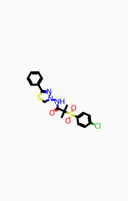 CC(C)(C(=O)NN1CSC(c2ccccc2)=N1)S(=O)(=O)c1ccc(Cl)cc1